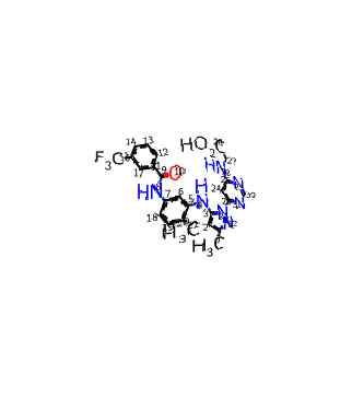 Cc1cc(Nc2cc(NC(=O)c3cccc(C(F)(F)F)c3)ccc2C)n(-c2cc(NCC(=O)O)ncn2)n1